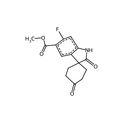 COC(=O)c1cc2c(cc1F)NC(=O)C21CCC(=O)CC1